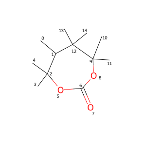 CC1C(C)(C)OC(=O)OC(C)(C)C1(C)C